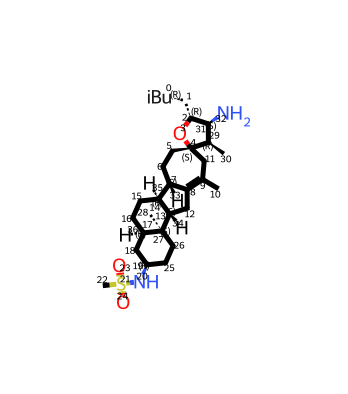 CC[C@@H](C)C[C@H]1O[C@]2(CC[C@@H]3C(=C(C)C2)C[C@H]2[C@H]3CC[C@@H]3C[C@H](NS(C)(=O)=O)CC[C@@]32C)[C@H](C)[C@@H]1N